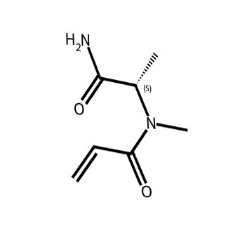 C=CC(=O)N(C)[C@@H](C)C(N)=O